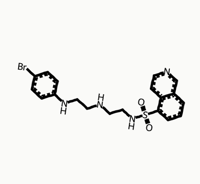 O=S(=O)(NCCNCCNc1ccc(Br)cc1)c1cccc2cnccc12